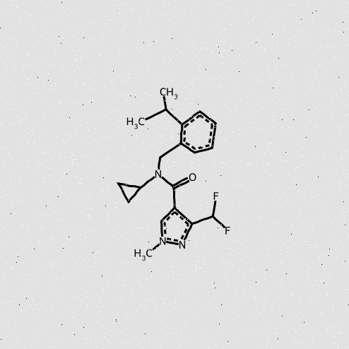 CC(C)c1ccccc1CN(C(=O)c1cn(C)nc1C(F)F)C1CC1